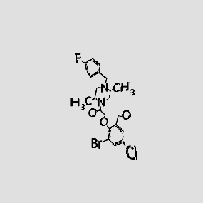 CC1CN(C(=O)COc2c(Br)cc(Cl)cc2C=O)C(C)CN1Cc1ccc(F)cc1